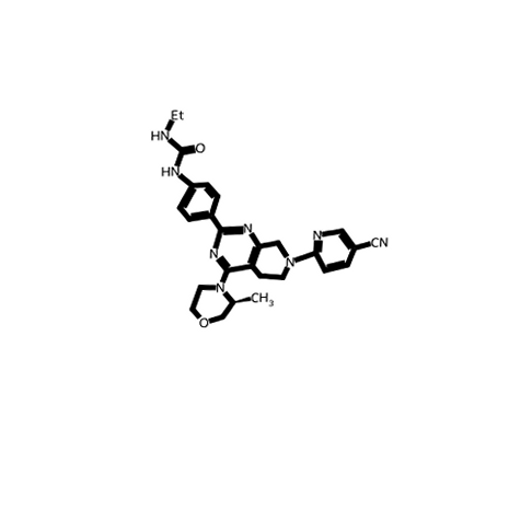 CCNC(=O)Nc1ccc(-c2nc3c(c(N4CCOC[C@@H]4C)n2)CCN(c2ccc(C#N)cn2)C3)cc1